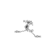 CCCCCCCCCCCCCCCC(=O)OC[C@H](COP(=O)([O-])OCC[N+](C)(C)C)SC(=O)CCCCCCCCCCCCCCC